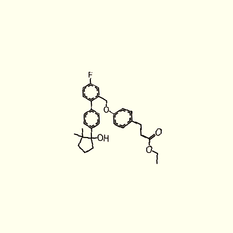 CCOC(=O)CCc1ccc(OCc2cc(F)ccc2-c2ccc(C3(O)CCCC3(C)C)cc2)cc1